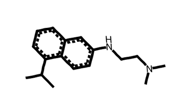 CC(C)c1cccc2cc(NCCN(C)C)ccc12